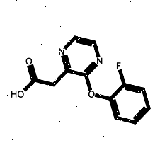 O=C(O)Cc1nccnc1Oc1ccccc1F